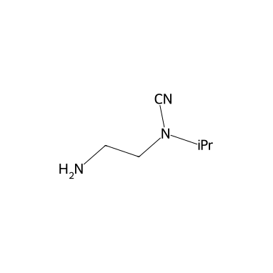 CC(C)N(C#N)CCN